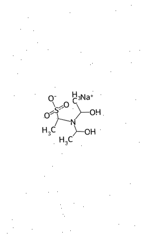 CC(O)N(C(C)O)C(C)S(=O)(=O)[O-].[Na+]